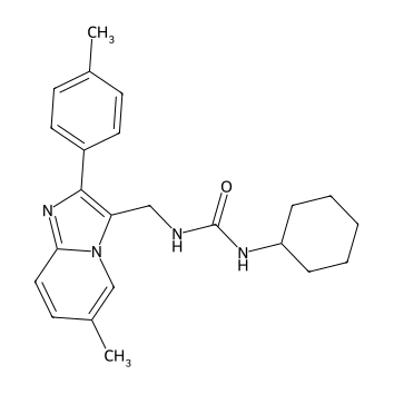 Cc1ccc(-c2nc3ccc(C)cn3c2CNC(=O)NC2CCCCC2)cc1